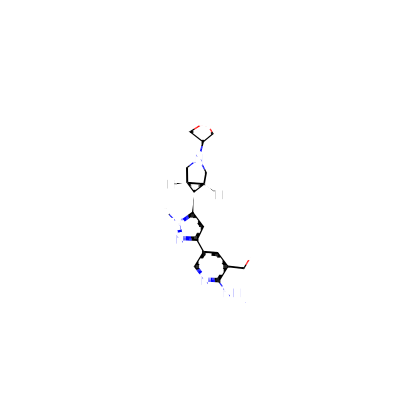 CC(C)n1nc(-c2cnc(N)c(CO)c2)cc1[C@H]1[C@@H]2CN(C3COC3)C[C@@H]21